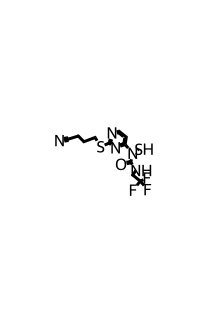 N#CCCCSc1nccc(N(S)C(=O)NCC(F)(F)F)n1